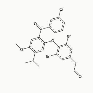 COc1cc(C(=O)c2cccc(Cl)c2)c(Oc2c(Br)cc(CC=O)cc2Br)cc1C(C)C